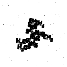 COc1nc(C(=S)N(SC)SC)nc(C(=S)N(SC)SC)n1